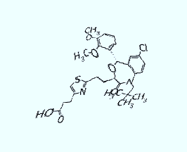 COc1cccc([C@H]2O[C@H](CCc3nc(CCC(=O)O)cs3)C(=O)N(CC(C)(C)C)c3ccc(Cl)cc32)c1OC